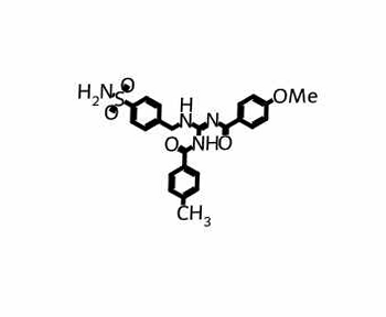 COc1ccc(C(=O)/N=C(/NCc2ccc(S(N)(=O)=O)cc2)NC(=O)c2ccc(C)cc2)cc1